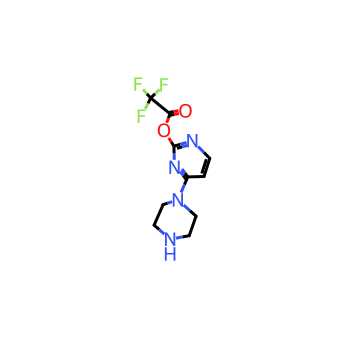 O=C(Oc1nccc(N2CCNCC2)n1)C(F)(F)F